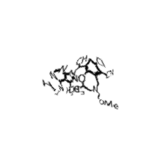 COCCN1Cc2c(C#N)c(Cl)cc(C(C)n3nc(C)c4c(N)ncnc43)c2OC(C)C1